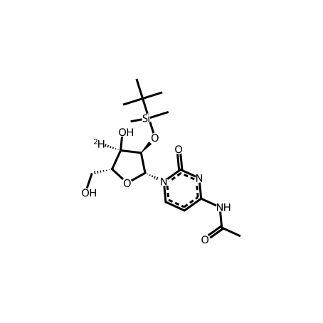 [2H][C@@]1(O)[C@@H](CO)O[C@@H](n2ccc(NC(C)=O)nc2=O)[C@@H]1O[Si](C)(C)C(C)(C)C